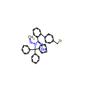 C=NN(/C(=N\N)c1ccccc1-c1ccc(CBr)cc1)C(c1ccccc1)(c1ccccc1)c1ccccc1